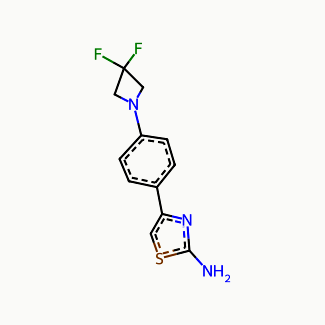 Nc1nc(-c2ccc(N3CC(F)(F)C3)cc2)cs1